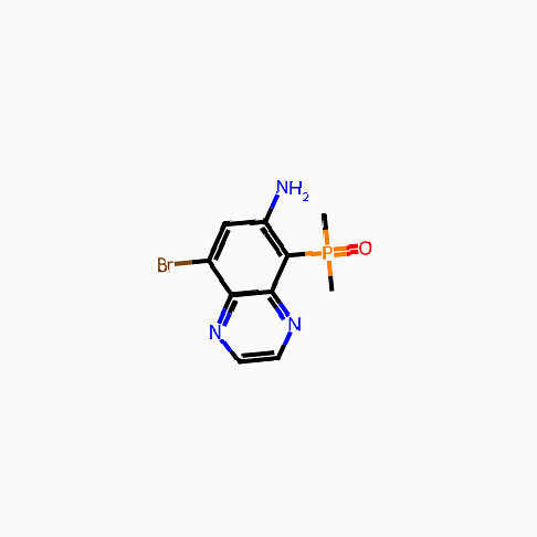 CP(C)(=O)c1c(N)cc(Br)c2nccnc12